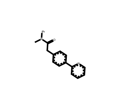 CC(C)N(C)C(=O)Cc1ccc(-c2ccccn2)cc1